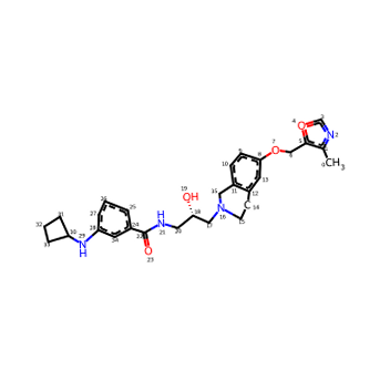 Cc1ncoc1COc1ccc2c(c1)CCN(C[C@@H](O)CNC(=O)c1cccc(NC3CCC3)c1)C2